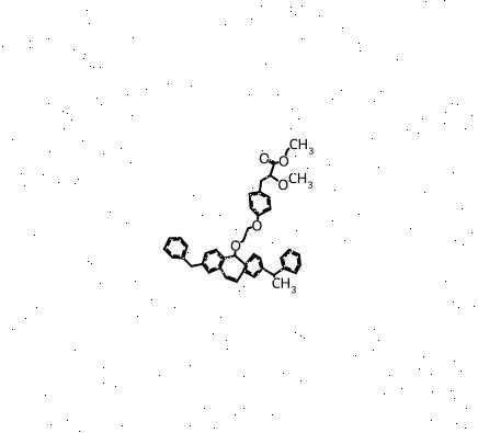 CCOC(=O)C(Cc1ccc(OCCOC2c3ccc(Cc4ccccc4)cc3C=Cc3cc(C(C)c4ccccc4)ccc32)cc1)OC